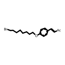 CC(=O)C=Cc1ccc(OCCCCCCCCBr)cc1